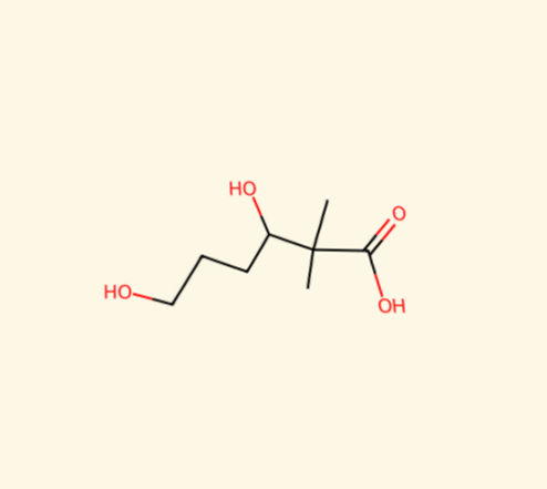 CC(C)(C(=O)O)C(O)CCCO